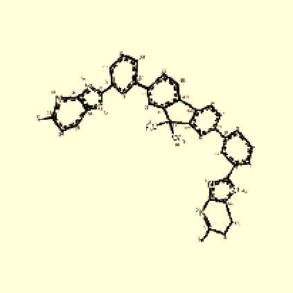 CC1=Nc2nc(-c3cccc(-c4ccc5c(c4)C(C(F)(F)F)(C(F)(F)F)c4cc(-c6cccc(-c7nc8nc(C)ccc8o7)c6)ccc4-5)c3)oc2CC1